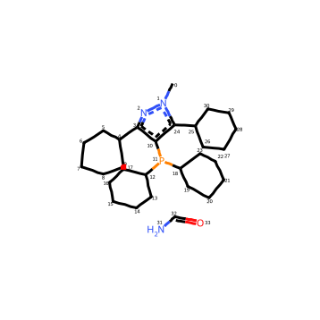 Cn1nc(C2CCCCC2)c(P(C2CCCCC2)C2CCCCC2)c1C1CCCCC1.NC=O